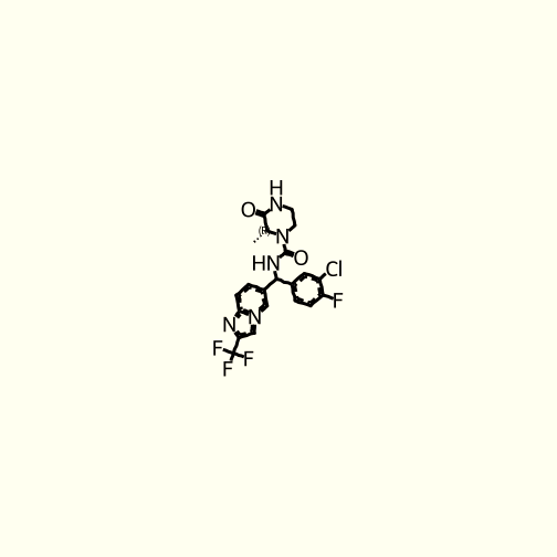 C[C@@H]1C(=O)NCCN1C(=O)NC(c1ccc(F)c(Cl)c1)c1ccc2nc(C(F)(F)F)cn2c1